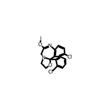 Clc1ccc2c(c1)C1(c3ccccc3Cl)OCCN1CC(OI)=N2